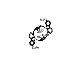 COc1ccc2c3c4n(c2c1)Cc1ccc(c(OC)c1O)CC1=NCCc2c1n(c1cc(OC)ccc21)Cc1ccc(c(OC)c1O)CC4=NCC3